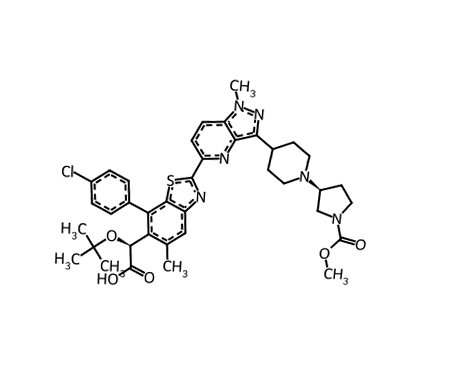 COC(=O)N1CC[C@H](N2CCC(c3nn(C)c4ccc(-c5nc6cc(C)c([C@H](OC(C)(C)C)C(=O)O)c(-c7ccc(Cl)cc7)c6s5)nc34)CC2)C1